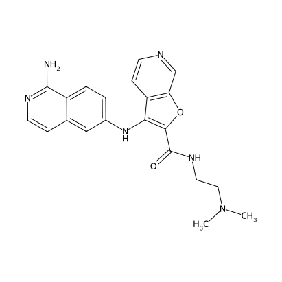 CN(C)CCNC(=O)c1oc2cnccc2c1Nc1ccc2c(N)nccc2c1